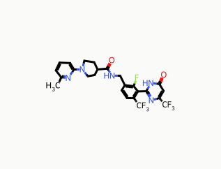 Cc1cccc(N2CCC(C(=O)NCc3ccc(C(F)(F)F)c(-c4nc(C(F)(F)F)cc(=O)[nH]4)c3F)CC2)n1